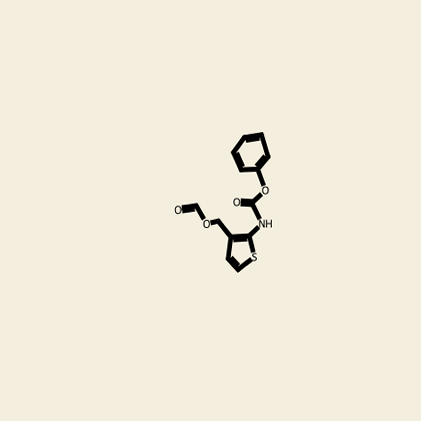 O=COCc1ccsc1NC(=O)Oc1ccccc1